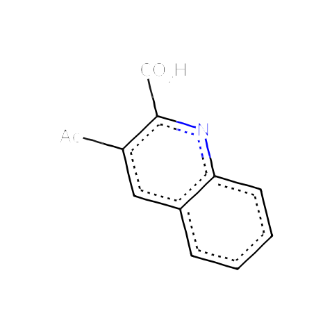 CC(=O)c1cc2ccccc2nc1C(=O)O